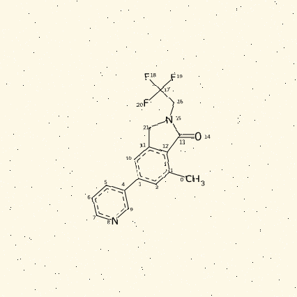 Cc1cc(-c2cccnc2)cc2c1C(=O)N(CC(F)(F)F)C2